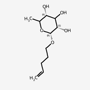 C=CCCCO[C@@H]1OC(C)[C@H](O)C(O)[C@@H]1O